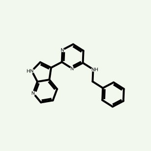 c1ccc(CNc2ccnc(-c3c[nH]c4ncccc34)n2)cc1